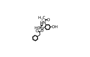 CC(=O)Nc1cc(O)ccc1[As](=O)(O)OC(=O)Cc1ccccc1